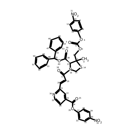 CC1(COC(=O)Oc2ccc([N+](=O)[O-])cc2)SCN(C(=O)/C=C/c2cc(C(=O)Oc3ccc([N+](=O)[O-])cc3)ccn2)[C@H]1C(=O)OC(c1ccccc1)c1ccccc1